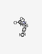 S=C(N/N=C1/CCOc2cc(Cl)cnc21)N1CCN(c2cnccn2)CC1